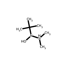 C[SiH](C)N(O)C(C)(C)C